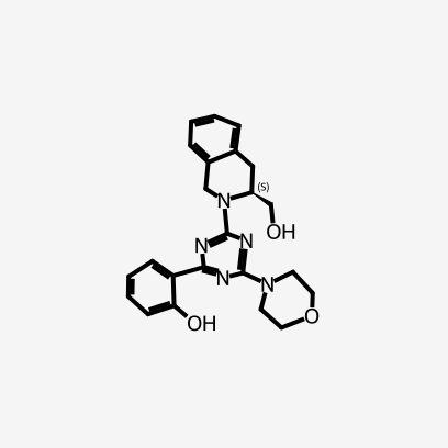 OC[C@@H]1Cc2ccccc2CN1c1nc(-c2ccccc2O)nc(N2CCOCC2)n1